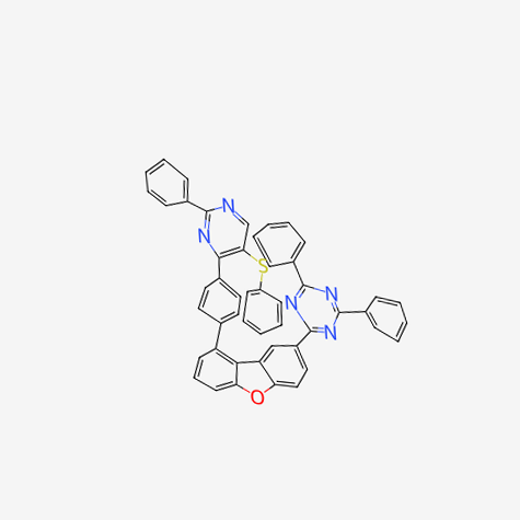 c1ccc(Sc2cnc(-c3ccccc3)nc2-c2ccc(-c3cccc4oc5ccc(-c6nc(-c7ccccc7)nc(-c7ccccc7)n6)cc5c34)cc2)cc1